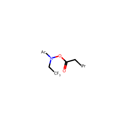 CC(=O)N(CC(F)(F)F)OC(=O)CC(C)C